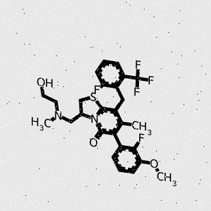 COc1cccc(-c2c(C)c(Cc3c(F)cccc3C(F)(F)F)c3n(c2=O)C(CN(C)CCO)CS3)c1F